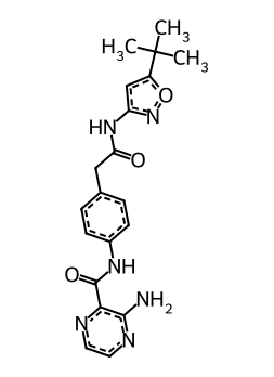 CC(C)(C)c1cc(NC(=O)Cc2ccc(NC(=O)c3nccnc3N)cc2)no1